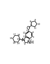 [CH]1Nc2ccc(OC3CCCC3)cc2N1C1CCCCC1